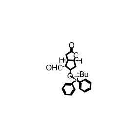 CC(C)(C)[Si](O[C@@H]1C[C@@H]2OC(=O)C[C@@H]2[C@H]1C=O)(c1ccccc1)c1ccccc1